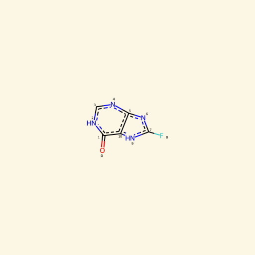 O=c1[nH]cnc2nc(F)[nH]c12